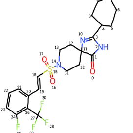 O=C1NC(C2CCCCC2)=NC12CCN(S(=O)(=O)C=Cc1cccc(F)c1C(F)(F)F)CC2